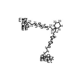 CCO[Si](CCCSSSSSCCC1(CCSSSSSCCC[Si](OCC)(OCC)OCC)CCCCC1)(OCC)OCC